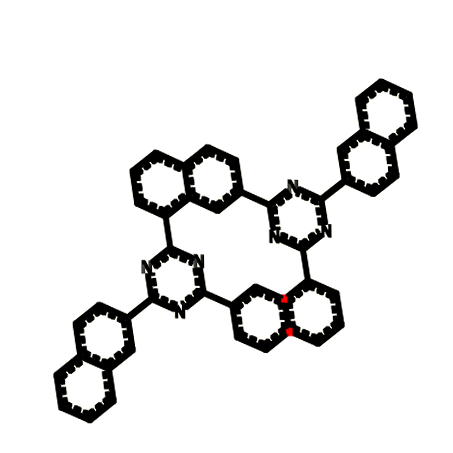 c1ccc(-c2nc(-c3ccc4ccccc4c3)nc(-c3ccc4cccc(-c5nc(-c6ccccc6)nc(-c6ccc7ccccc7c6)n5)c4c3)n2)cc1